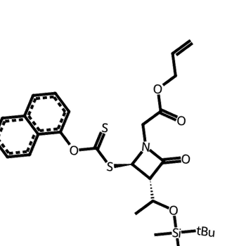 C=CCOC(=O)CN1C(=O)[C@H](C(C)O[Si](C)(C)C(C)(C)C)[C@H]1SC(=S)Oc1cccc2ccccc12